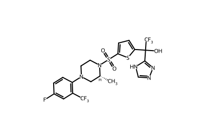 C[C@@H]1CN(c2ccc(F)cc2C(F)(F)F)CCN1S(=O)(=O)c1ccc(C(O)(c2nnc[nH]2)C(F)(F)F)s1